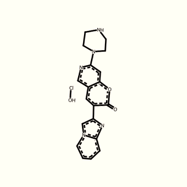 O=c1oc2cc(N3CCNCC3)ncc2cc1-c1cn2ccccc2n1.OCl